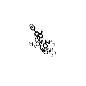 C=N/C=C\C(=C(/C)NC(=O)c1ccc(F)c2cc(C3CCOCC3)cnc12)[C@@H]1C[C@H](C)C[C@H](N)C1